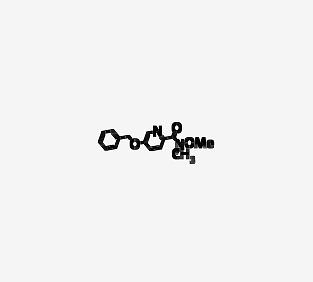 CON(C)C(=O)c1ccc(OCc2ccccc2)cn1